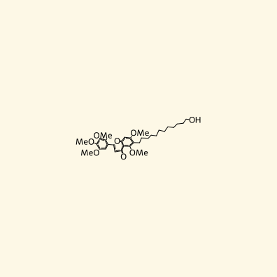 COc1cc(OC)c(-c2cc(=O)c3c(OC)c(CCCCCCCCCCCCO)c(OC)cc3o2)cc1OC